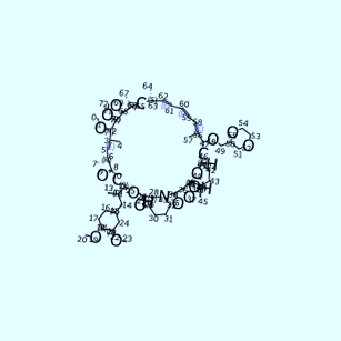 CO[C@@H]1/C(C)=C/[C@@H](C)C(=O)C[C@@H]([C@H](C)C[C@@H]2CC[C@@H](OC)[C@H](OC)C2)OC(=O)[C@@H]2CCCCN2C(=O)C(=O)[C@]2(O)O[C@@H](CC[C@H]2C)CC(OCC2COCCO2)/C(C)=C/C=C/C=C/[C@@H](C)C[C@@H](C)C(=O)[C@@H]1OC